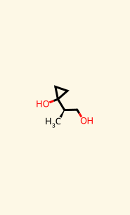 C[C@H](CO)C1(O)CC1